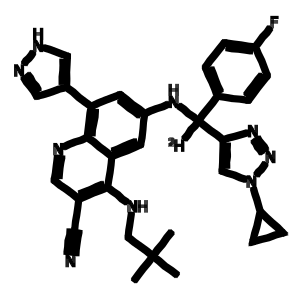 [2H]C(Nc1cc(-c2cn[nH]c2)c2ncc(C#N)c(NCC(C)(C)C)c2c1)(c1ccc(F)cc1)c1cn(C2CC2)nn1